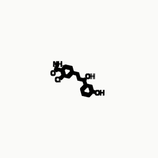 NC(=O)c1ccc(CCC(O)c2cccc(O)c2)cc1Cl